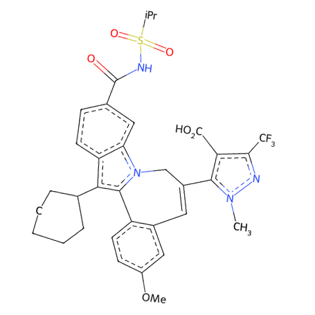 COc1ccc2c(c1)C=C(c1c(C(=O)O)c(C(F)(F)F)nn1C)Cn1c-2c(C2CCCCC2)c2ccc(C(=O)NS(=O)(=O)C(C)C)cc21